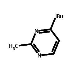 CCC(C)c1ccnc(C)n1